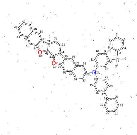 CC1(C)c2ccccc2-c2ccc(N(c3ccc(-c4ccccc4)cc3)c3ccc4cc5oc6c(ccc7c8cc9ccccc9cc8oc76)c5cc4c3)cc21